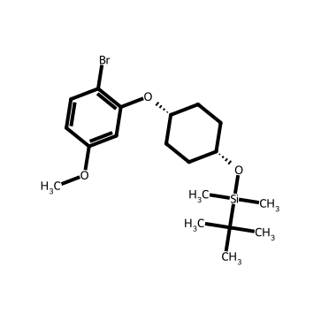 COc1ccc(Br)c(O[C@H]2CC[C@@H](O[Si](C)(C)C(C)(C)C)CC2)c1